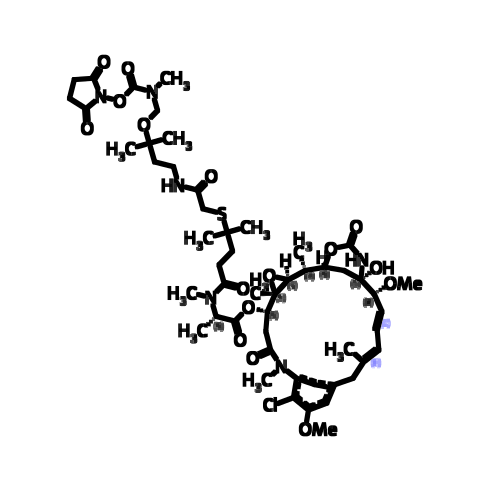 COc1cc2cc(c1Cl)N(C)C(=O)C[C@H](OC(=O)[C@H](C)N(C)C(=O)CCC(C)(C)SCC(=O)NCCC(C)(C)OCN(C)C(=O)ON1C(=O)CCC1=O)[C@]1(C)O[C@H]1[C@H](C)[C@@H]1C[C@@](O)(NC(=O)O1)[C@H](OC)/C=C/C=C(\C)C2